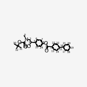 CN(CC(O)c1ccc(OC(=O)c2ccc(-c3ccccc3)cc2)cc1)C(=O)OC(C)(C)C